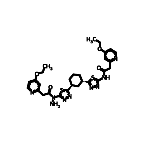 CCOc1ccnc(CC(=O)Nc2nnc([C@H]3CCC[C@H](c4nnc(N(N)C(=O)Cc5cc(OCC)ccn5)s4)C3)s2)c1